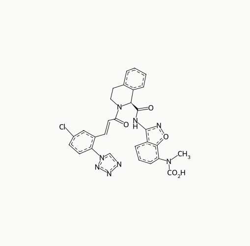 CN(C(=O)O)c1cccc2c(NC(=O)[C@@H]3c4ccccc4CCN3C(=O)/C=C/c3cc(Cl)ccc3-n3cnnn3)noc12